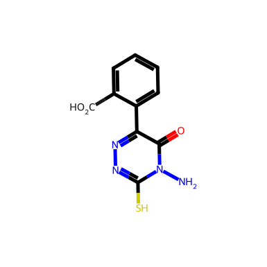 Nn1c(S)nnc(-c2ccccc2C(=O)O)c1=O